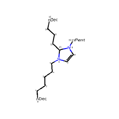 CCCCCCCCCCCCCCCN1C=CN(CCCCC)C1CCCCCCCCCCCCC